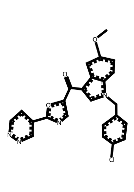 COc1ccc2c(c1)c(C(=O)c1cnc(-c3ccnnc3)o1)cn2Cc1ccc(Cl)cc1